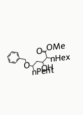 CCCCCCC(C(=O)OC)C(O)CC(CCCCC)OCc1ccccc1